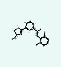 C/C(=N\c1c(C)cccc1C)c1cccc(C2=NC(C(C)C)CO2)n1